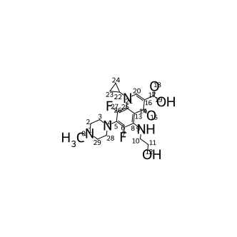 CN1CCN(c2c(F)c(NCCO)c3c(=O)c(C(=O)O)cn(C4CC4)c3c2F)CC1